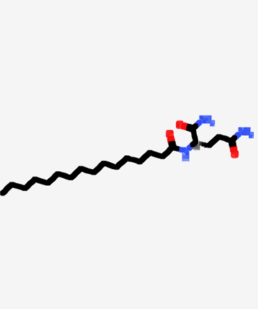 CCCCCCCCCCCCCCCC(=O)N[C@@H](CCC(N)=O)C(N)=O